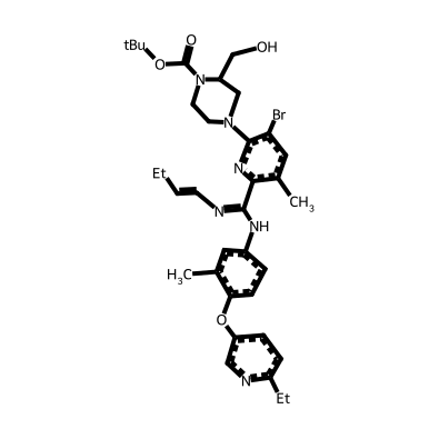 CC/C=C/N=C(/Nc1ccc(Oc2ccc(CC)nc2)c(C)c1)c1nc(N2CCN(C(=O)OC(C)(C)C)C(CO)C2)c(Br)cc1C